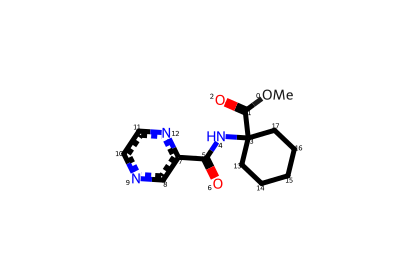 COC(=O)C1(NC(=O)c2cnccn2)CCCCC1